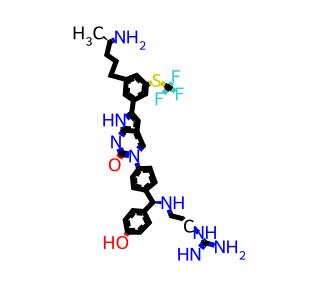 C[C@H](N)CCCc1cc(SC(F)(F)F)cc(-c2cc3cn(-c4ccc([C@@H](NCCCNC(=N)N)c5ccc(O)cc5)cc4)c(=O)nc3[nH]2)c1